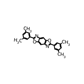 Cc1cc(C)cc(-c2nc3cc4oc(-c5cc(C)cc(C)c5)nc4cc3o2)c1